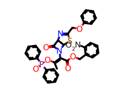 CC(OP(=O)(c1ccccc1)c1ccccc1)=C(C(=O)OCc1ccccc1[N+](=O)[O-])N1C(=O)C2N=C(COc3ccccc3)SC21